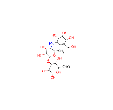 C[C@H]1OC(O[C@H](C(O)CO)[C@H](O)[C@@H](O)C=O)C(O)[C@@H](O)C1NC1C=C(CO)[C@@H](O)C(O)[C@H]1O